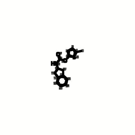 Cc1ccc(OC(=O)NC2Cc3ccccc3C2)s1